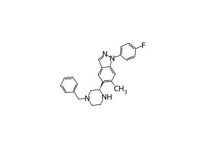 Cc1cc2c(cnn2-c2ccc(F)cc2)cc1[C@@H]1CN(Cc2ccccc2)CCN1